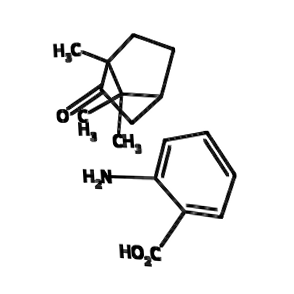 CC12CCC(CC1=O)C2(C)C.Nc1ccccc1C(=O)O